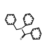 O=C(c1ccccc1)N(Cc1ccccc1)c1ccccc1